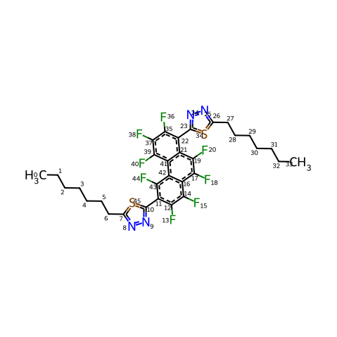 CCCCCCCc1nnc(-c2c(F)c(F)c3c(F)c(F)c4c(-c5nnc(CCCCCCC)s5)c(F)c(F)c(F)c4c3c2F)s1